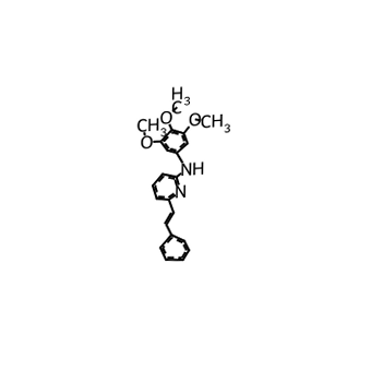 COc1cc(Nc2cccc(/C=C/c3ccccc3)n2)cc(OC)c1OC